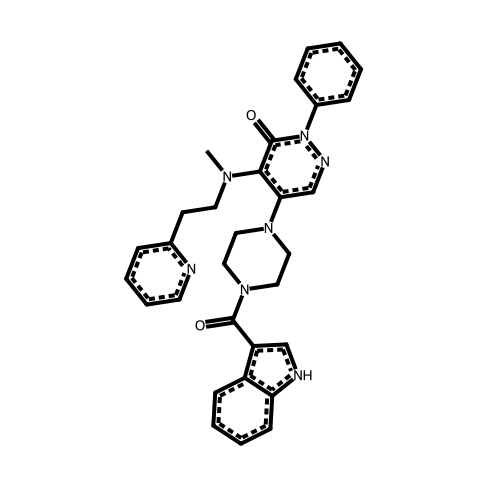 CN(CCc1ccccn1)c1c(N2CCN(C(=O)c3c[nH]c4ccccc34)CC2)cnn(-c2ccccc2)c1=O